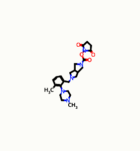 Cc1cccc(CN2CC3CN(C(=O)ON4C(=O)CCC4=O)CC3C2)c1N1CCN(C)CC1